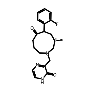 C[C@@H]1CC(c2ccccc2F)C(=O)CCCN(Cc2ncc[nH]c2=O)C1